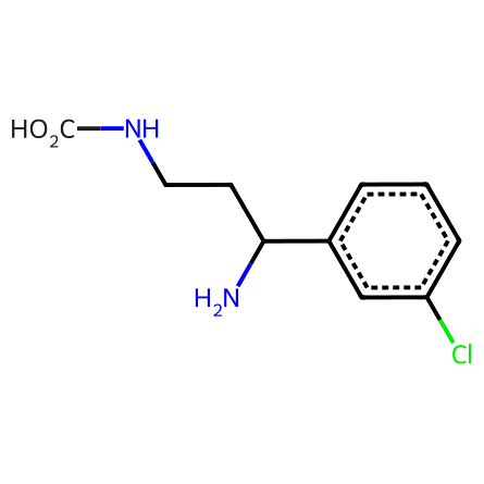 NC(CCNC(=O)O)c1cccc(Cl)c1